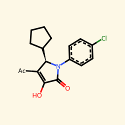 CC(=O)C1=C(O)C(=O)N(c2ccc(Cl)cc2)[C@@H]1C1CCCC1